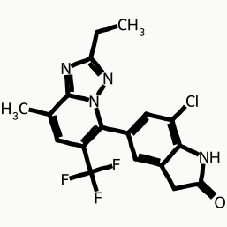 CCc1nc2c(C)cc(C(F)(F)F)c(-c3cc(Cl)c4c(c3)CC(=O)N4)n2n1